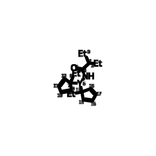 CCC(CC)C(=O)[NH][Y]([C]1(CC)C=CC=C1)[C]1(CC)C=CC=C1